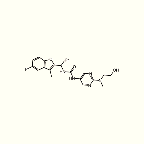 Cc1c(C(NC(=O)Nc2cnc(N(C)CCO)nc2)C(C)C)oc2ccc(F)cc12